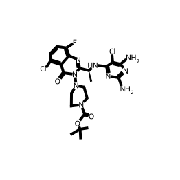 C[C@H](Nc1nc(N)nc(N)c1Cl)c1nc2c(F)ccc(Cl)c2c(=O)n1N1CCN(C(=O)OC(C)(C)C)CC1